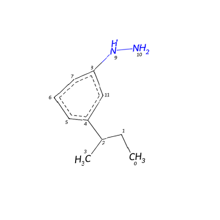 CCC(C)c1cccc(NN)c1